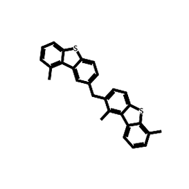 Cc1cccc2c1sc1ccc(Cc3ccc4sc5cccc(C)c5c4c3)c(C)c12